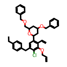 C=CCOc1c(Cl)c(Cc2ccc(CC)cc2)cc(C2CC(OCc3ccccc3)CC(COCc3ccccc3)O2)c1C=C